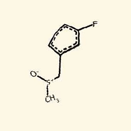 C[S+]([O-])Cc1cccc(F)c1